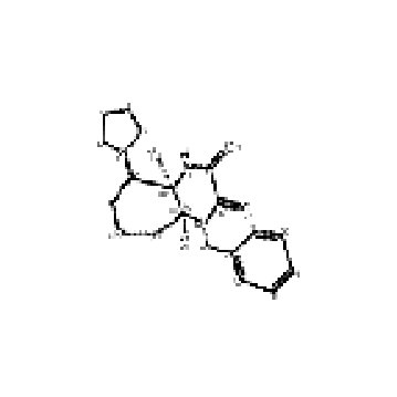 O=C1N[C@@H]2C(N3CCCC3)COC[C@H]2N(Cc2ccccc2)C1=O